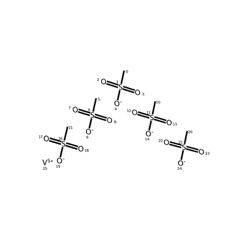 CS(=O)(=O)[O-].CS(=O)(=O)[O-].CS(=O)(=O)[O-].CS(=O)(=O)[O-].CS(=O)(=O)[O-].[V+5]